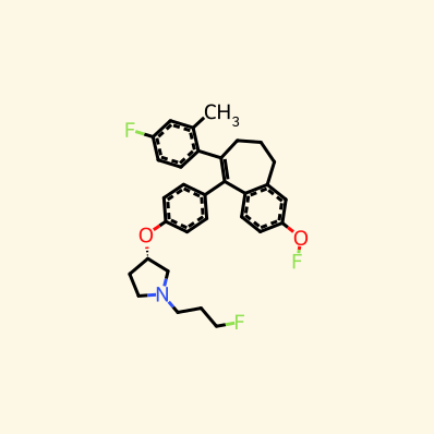 Cc1cc(F)ccc1C1=C(c2ccc(O[C@H]3CCN(CCCF)C3)cc2)c2ccc(OF)cc2CCC1